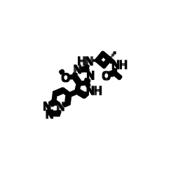 COc1nc(N[C@H]2C[C@](C)(NC(C)=O)C2)nc2[nH]cc(-c3ccc4nncn4c3)c12